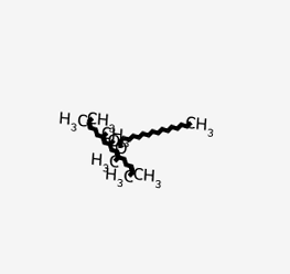 CCCCCCCCCCCCCCCC(=O)OC(/C=C(\C)CCC=C(C)C)C/C=C(\C)CCC=C(C)C